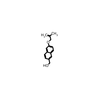 C=C(C)COc1ccc2cc(CO)ccc2c1